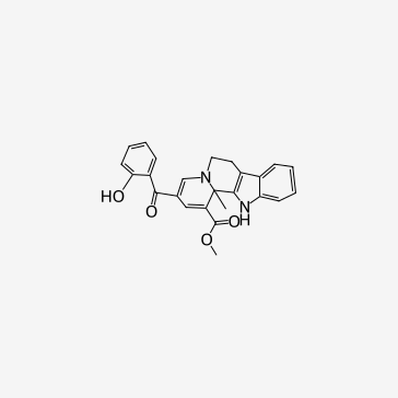 COC(=O)C1=CC(C(=O)c2ccccc2O)=CN2CCc3c([nH]c4ccccc34)C12C